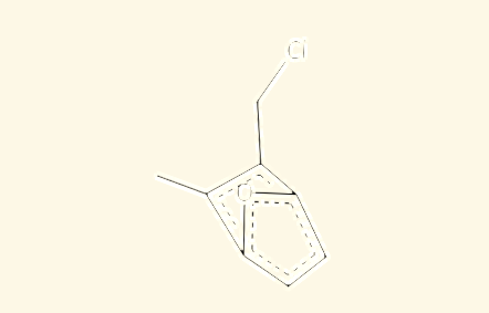 Cc1c(CCl)c2ccc1o2